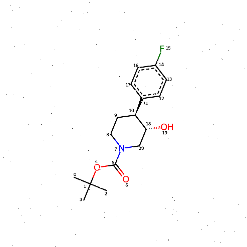 CC(C)(C)OC(=O)N1CC[C@@H](c2ccc(F)cc2)[C@H](O)C1